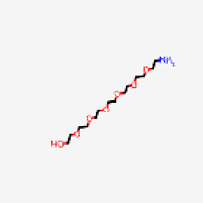 NCCOCCOCCOCCOCCOCCOCCO